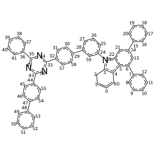 C1=CCc2c(c3c(-c4ccccc4)cc(-c4ccccc4)cc3n2-c2cccc(-c3ccc(-c4nc(-c5ccccc5)nc(-c5ccc(-c6ccccc6)cc5)n4)cc3)c2)C=1